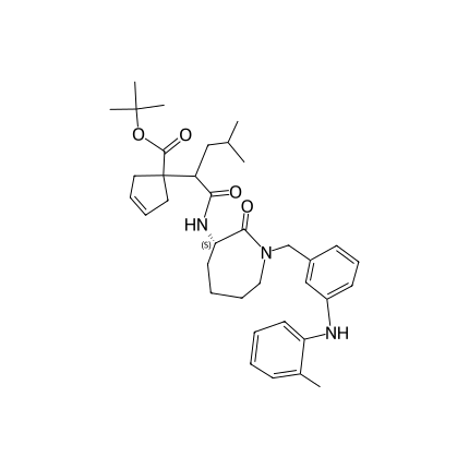 Cc1ccccc1Nc1cccc(CN2CCCC[C@H](NC(=O)C(CC(C)C)C3(C(=O)OC(C)(C)C)CC=CC3)C2=O)c1